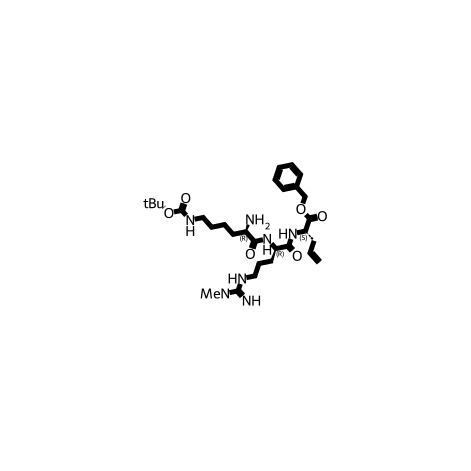 C=CC[C@H](NC(=O)[C@@H](CCCNC(=N)NC)NC(=O)[C@H](N)CCCCNC(=O)OC(C)(C)C)C(=O)OCc1ccccc1